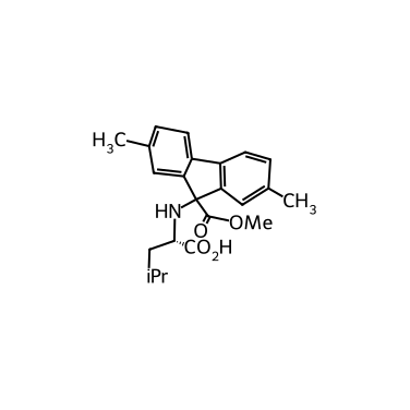 COC(=O)C1(N[C@@H](CC(C)C)C(=O)O)c2cc(C)ccc2-c2ccc(C)cc21